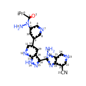 CC(C)C(=O)N(N)c1cncc(-c2cnc3[nH]nc(-c4nc5c(C#N)cncc5n4N)c3c2)c1